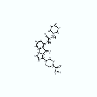 CNC(=O)N1CCC(C2=C3C(=O)c4c(NC(=O)NN5CCOCC5)cccc4C3N=N2)CC1